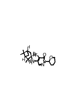 C[C@@H]1[C@H]2C[C@@H](C[C@H]1Nc1cnn(C3CCCCO3)c(=O)c1Br)C2(C)C